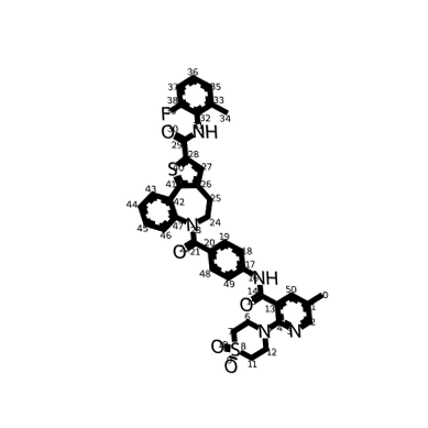 Cc1cnc(N2CCS(=O)(=O)CC2)c(C(=O)Nc2ccc(C(=O)N3CCc4cc(C(=O)Nc5c(C)cccc5F)sc4-c4ccccc43)cc2)c1